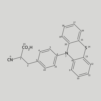 [C-]#[N+]C(Cc1ccc(N2c3ccccc3Sc3ccccc32)cc1)C(=O)O